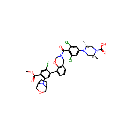 COC(=O)c1cc(F)c(-c2cccc3c2OCN(C(=O)c2c(Cl)cc(N4C[C@H](C)N(C(=O)O)C[C@H]4C)cc2Cl)C3)cc1N1C2CCC1COC2